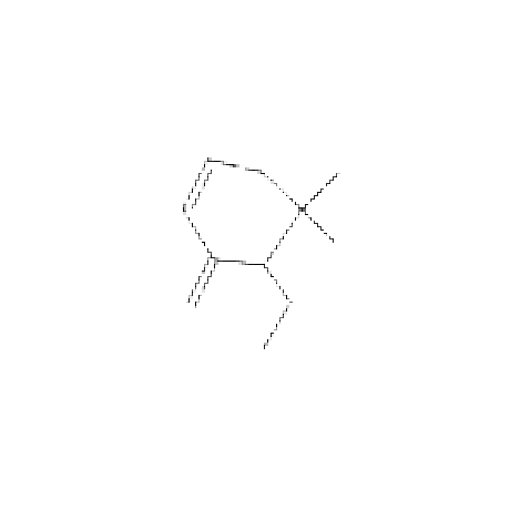 C=C1C=CCC(C)(C)C1CC